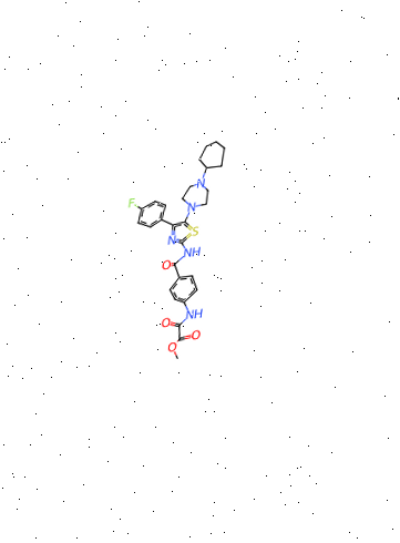 COC(=O)C(=O)Nc1ccc(C(=O)Nc2nc(-c3ccc(F)cc3)c(N3CCN(C4CCCCC4)CC3)s2)cc1